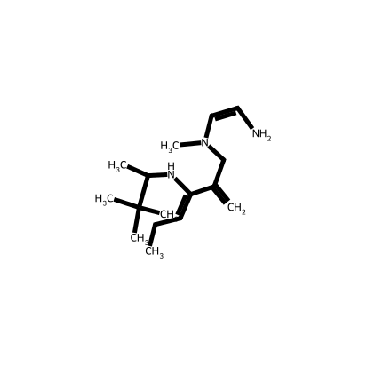 C=C(CN(C)/C=C\N)C(=CCC)NC(C)C(C)(C)C